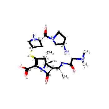 C[C@@H](NC(=O)CN(C)C)[C@H]1C(=O)N2C(C(=O)O)=C(S[C@@H]3CN[C@H](C(=O)N4CC[C@@H](N)C4)C3)[C@H](C)[C@H]12